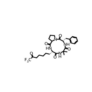 CC1(C)NC(=O)[C@H](CCCCCC(=O)C(F)(F)F)NC(=O)C2CCCN2C(=O)[C@H](Cc2ccccc2)NC1=O